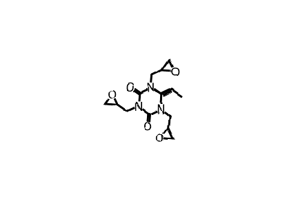 CC=C1N(CC2CO2)C(=O)N(CC2CO2)C(=O)N1CC1CO1